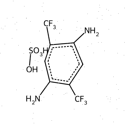 Nc1cc(C(F)(F)F)c(N)cc1C(F)(F)F.O=S(=O)(O)O